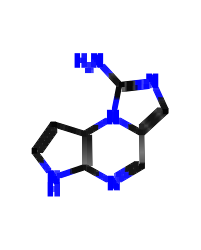 Nc1ncc2cnc3[nH]ccc3n12